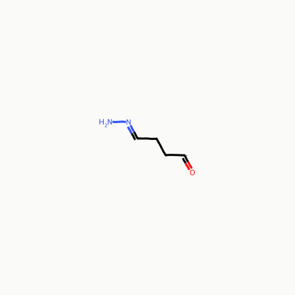 N/N=[C]/CC[C]=O